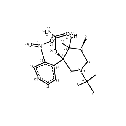 C[C@H]1CN(C(C)(C)C)C[C@](OC(N)=O)(c2ccncc2[N+](=O)[O-])C1(C)O